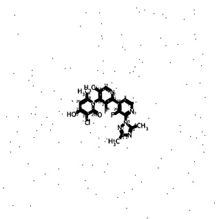 Cc1nc(C)n(-c2nccc(-c3ncc(C)c(-n4c(C)cc(O)c(Cl)c4=O)c3F)c2F)n1